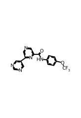 O=C(Nc1ccc(OC(F)(F)F)cc1)c1cncc(-c2cncnc2)n1